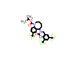 CC(=O)N(Cc1cc(C(F)(F)F)cc(C(F)(F)F)c1)C1CCCCN(C(=O)OC(C)C)c2ccc(C(F)(F)F)cc21